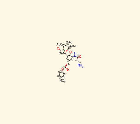 COC(=O)[C@H]1O[C@@H](Oc2ccc(COC(=O)Oc3ccc([N+](=O)[O-])cc3)cc2NC(=O)CCN)[C@H](OC(C)=O)[C@@H](OC(C)=O)[C@@H]1OC(C)=O